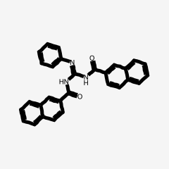 O=C(NC(=Nc1ccccc1)NC(=O)c1ccc2ccccc2c1)c1ccc2ccccc2c1